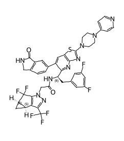 O=C(Cn1nc(C(F)(F)F)c2c1C(F)(F)[C@@H]1C[C@H]21)N[C@H](Cc1cc(F)cc(F)c1)c1nc2nc(N3CCN(c4ccncc4)CC3)sc2cc1-c1ccc2c(c1)C(=O)NC2